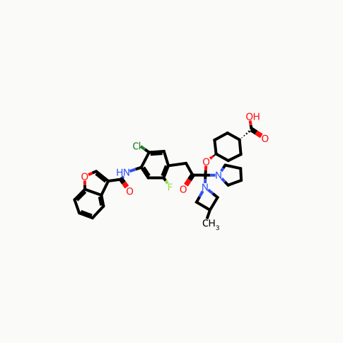 CC1CN(C(O[C@H]2CC[C@H](C(=O)O)CC2)(C(=O)Cc2cc(Cl)c(NC(=O)c3coc4ccccc34)cc2F)N2CCCC2)C1